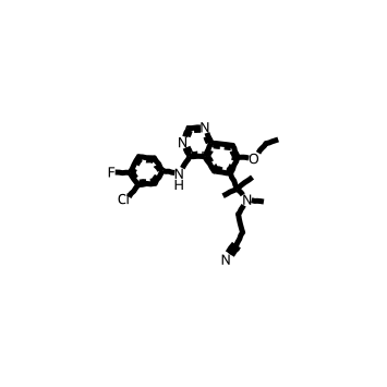 CCOc1cc2ncnc(Nc3ccc(F)c(Cl)c3)c2cc1C(C)(C)N(C)CCC#N